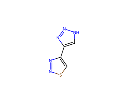 c1[nH]nnc1-c1csnn1